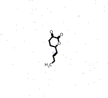 CC/C=C/C1CCC(=O)C(=O)O1